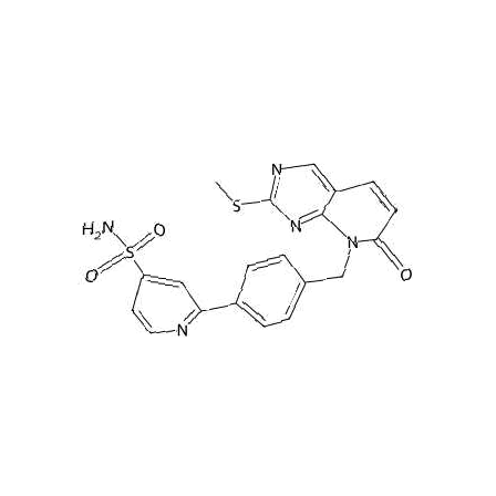 CSc1ncc2ccc(=O)n(Cc3ccc(-c4cc(S(N)(=O)=O)ccn4)cc3)c2n1